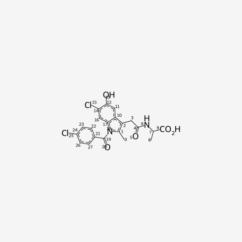 Cc1c(CC(=O)NC(C)C(=O)O)c2cc(O)c(Cl)cc2n1C(=O)c1ccc(Cl)cc1